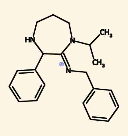 CC(C)N1CCCNC(c2ccccc2)/C1=N/Cc1ccccc1